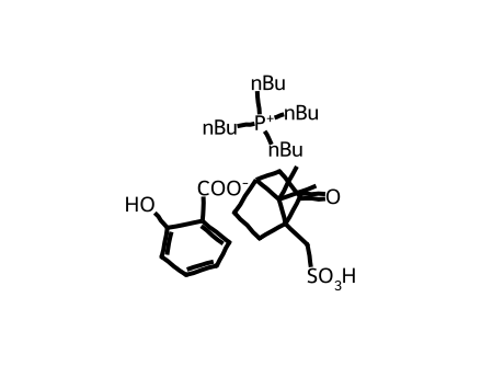 CC1(C)C2CCC1(CS(=O)(=O)O)C(=O)C2.CCCC[P+](CCCC)(CCCC)CCCC.O=C([O-])c1ccccc1O